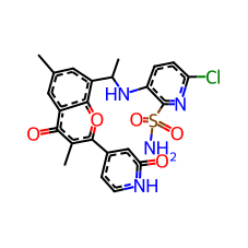 Cc1cc(C(C)Nc2ccc(Cl)nc2S(N)(=O)=O)c2oc(-c3cc[nH]c(=O)c3)c(C)c(=O)c2c1